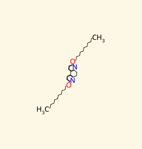 CCCCCCCCCCCOc1ccc2c(n1)CCc1nc(OCCCCCCCCCCC)ccc1-2